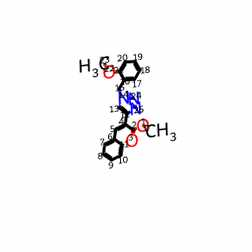 COC(=O)C(=Cc1ccccc1)c1cn(Cc2ccccc2OC)nn1